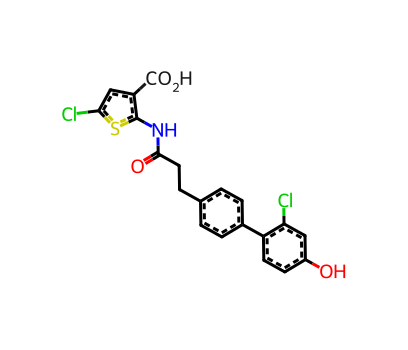 O=C(CCc1ccc(-c2ccc(O)cc2Cl)cc1)Nc1sc(Cl)cc1C(=O)O